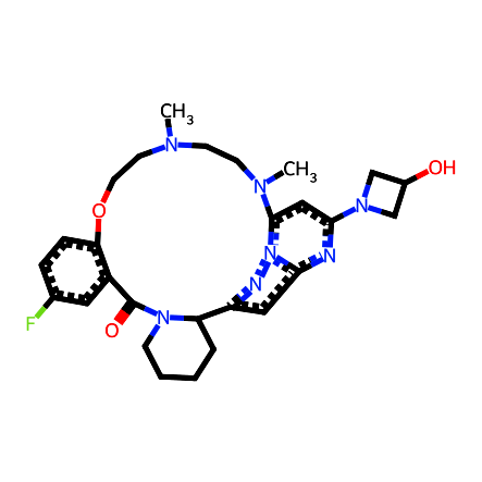 CN1CCOc2ccc(F)cc2C(=O)N2CCCCC2c2cc3nc(N4CC(O)C4)cc(n3n2)N(C)CC1